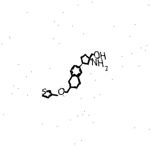 N[C@]1(CO)CC[C@H](c2ccc3c(c2)CCC(COCc2ccsc2)C3)C1